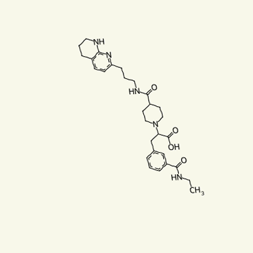 CCNC(=O)c1cccc(CC(C(=O)O)N2CCC(C(=O)NCCCc3ccc4c(n3)NCCC4)CC2)c1